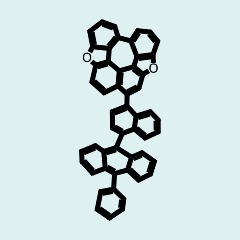 c1ccc(-c2c3ccccc3c(-c3ccc(-c4cc5oc6cccc7c6c5c5c4ccc4oc6cccc-7c6c45)c4ccccc34)c3ccccc23)cc1